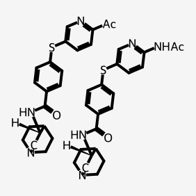 CC(=O)Nc1ccc(Sc2ccc(C(=O)N[C@H]3CN4CCC3CC4)cc2)cn1.CC(=O)c1ccc(Sc2ccc(C(=O)N[C@H]3CN4CCC3CC4)cc2)cn1